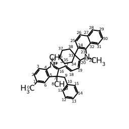 Cc1ccc2c(c1)C(C)(Cc1ccccc1)C(/C=C/C=C1/N(C)c3c(ccc4ccccc34)C13CCCCC3)=[N+]2C